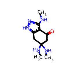 CNc1n[nH]c2c1C(=O)CC(NC)(NC)C2